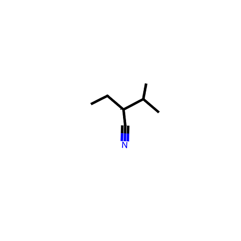 CC[C](C#N)C(C)C